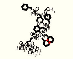 COc1ccc(Cn2nnc(-c3c(N4CCC(N)(CNC(=O)OCc5ccccc5)CC4)ccc(S(=O)(=O)NCC(CNC(=O)O)O[Si](C)(C)C(C)(C)C)c3S(=O)(=O)N(Cc3ccccc3)Cc3ccccc3)n2)cc1